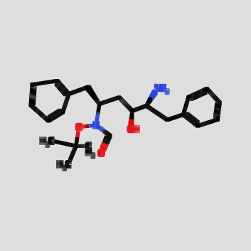 CC(C)(C)ON(C=O)[C@@H](Cc1ccccc1)C[C@H](O)[C@@H](N)Cc1ccccc1